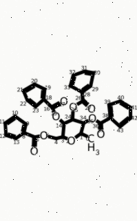 CC1OC(COC(=O)c2ccccc2)C(OC(=O)c2ccccc2)C(OC(=O)c2ccccc2)C1OC(=O)c1ccccc1